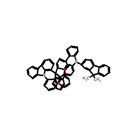 CC1(C)c2ccccc2-c2ccc(N(c3ccc(-c4ccccc4)cc3)c3ccccc3-c3ccc4c(c3)-c3ccccc3C43c4ccccc4-n4c5ccccc5c5cccc3c54)cc21